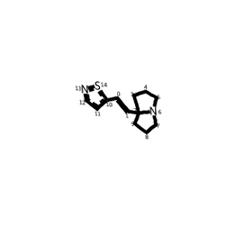 C(=CC12CCCN1CCC2)c1ccns1